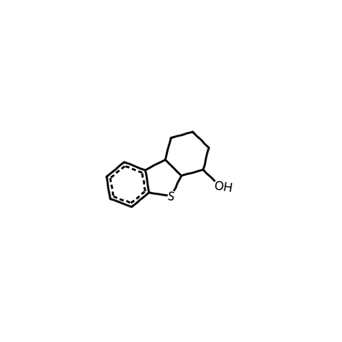 OC1CCCC2c3ccccc3SC12